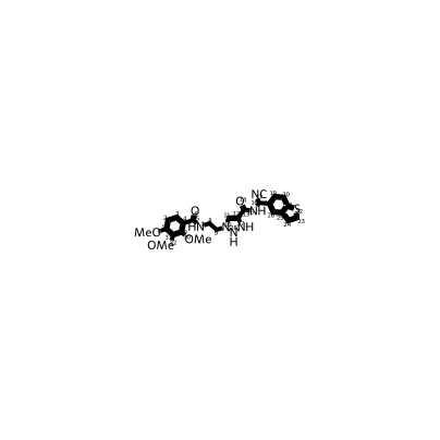 COc1ccc(C(=O)NCCN2C=C(C(=O)NC(C#N)c3ccc4sccc4c3)NN2)c(OC)c1OC